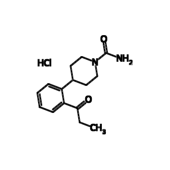 CCC(=O)c1ccccc1C1CCN(C(N)=O)CC1.Cl